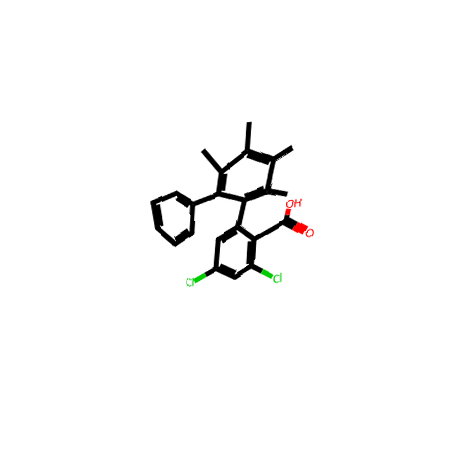 Cc1c(C)c(C)c(-c2cc(Cl)cc(Cl)c2C(=O)O)c(-c2ccccc2)c1C